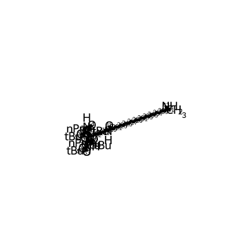 CCCC(NC(=O)OC(C)(C)C)N(CC(CCCCCCNC(=O)CCCCCCCCCCCCCCCCCCCCCC(C)N)CN(C(=O)OC(C)(C)C)C(CCC)NC(=O)OC(C)(C)C)C(=O)OC(C)(C)C